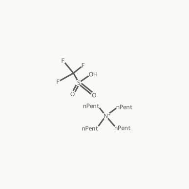 CCCCC[N+](CCCCC)(CCCCC)CCCCC.O=S(=O)(O)C(F)(F)F